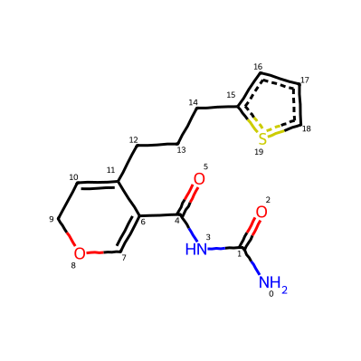 NC(=O)NC(=O)C1=COCC=C1CCCc1cccs1